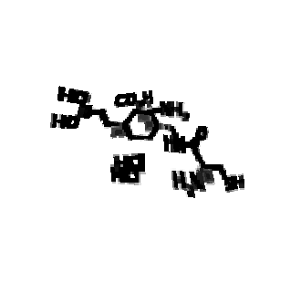 Cl.Cl.N[C@@H](CS)C(=O)NC[C@@H]1CC[C@@H](CCB(O)O)C[C@]1(N)C(=O)O